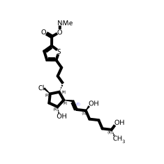 CNOC(=O)c1ccc(CCC[C@@H]2[C@@H](/C=C/[C@@H](O)CCC[C@@H](C)O)[C@H](O)C[C@H]2Cl)s1